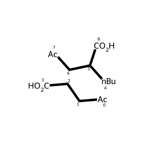 CC(=O)CCC(=O)O.CCCCC(CC(C)=O)C(=O)O